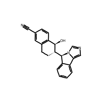 N#Cc1ccc2c(c1)CC[C@@H]([C@@H]1c3ccccc3-c3cncn31)[C@@H]2O